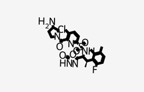 Cc1ccc(F)c([C@@H](C)C(NS(=O)(=O)c2ccc(Cl)c(C(=O)N3CCC(N)C3)n2)c2n[nH]c(=O)o2)c1C